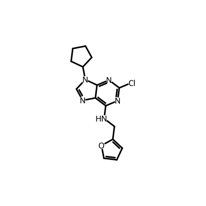 Clc1nc(NCc2ccco2)c2ncn(C3CCCC3)c2n1